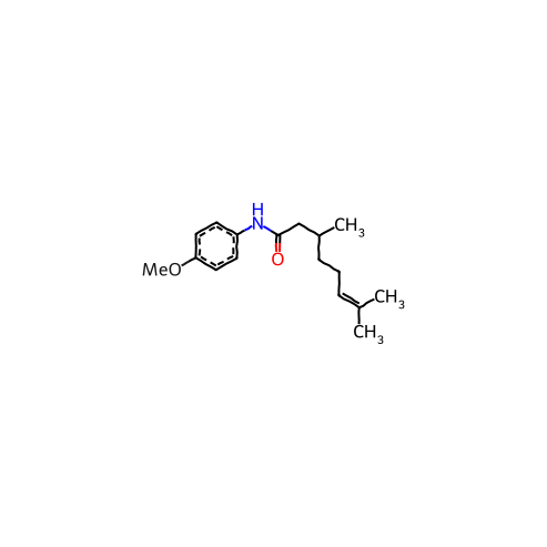 COc1ccc(NC(=O)CC(C)CCC=C(C)C)cc1